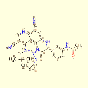 CC(=O)Nc1cccc(C(Nc2cc(C#N)c3ncc(C#N)c(NCC(C)(C)C)c3c2)c2cn(C3CC3)nn2)c1